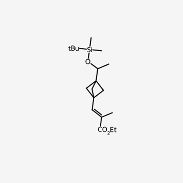 CCOC(=O)/C(C)=C/C12CC(C(C)O[Si](C)(C)C(C)(C)C)(C1)C2